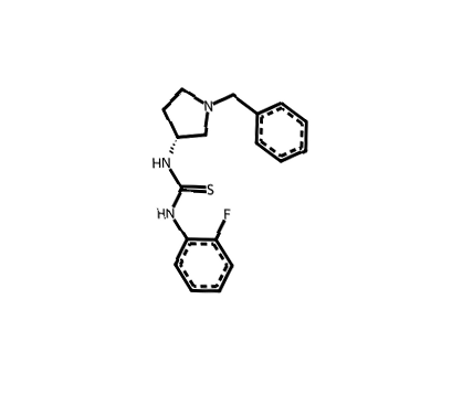 Fc1ccccc1NC(=S)N[C@@H]1CCN(Cc2ccccc2)C1